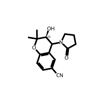 CC1(C)Oc2ccc(C#N)cc2C(N2CCCC2=O)[C@@H]1O